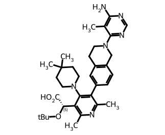 Cc1nc(C)c([C@H](OC(C)(C)C)C(=O)O)c(N2CCC(C)(C)CC2)c1-c1ccc2c(c1)CCN(c1ncnc(N)c1C)C2